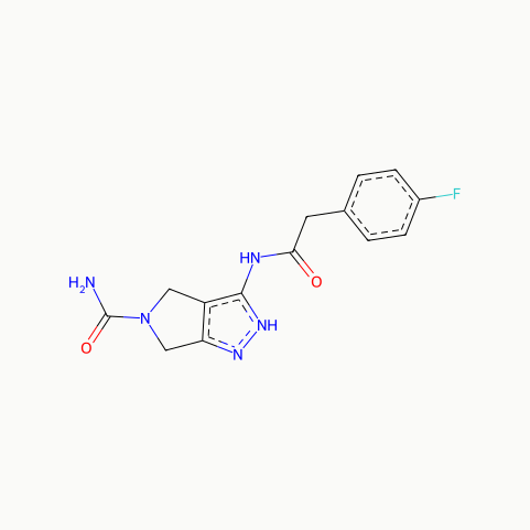 NC(=O)N1Cc2n[nH]c(NC(=O)Cc3ccc(F)cc3)c2C1